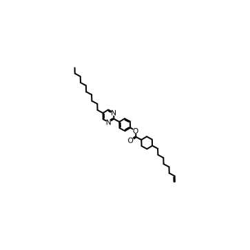 C=CCCCCCCC1CCC(C(=O)Oc2ccc(-c3ncc(CCCCCCCCCC)cn3)cc2)CC1